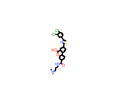 CN(C)CCCNC(=O)c1ccc(-c2ccc(-c3nc(-c4ccc(Cl)c(Cl)c4)cs3)cc2C(=O)O)cc1